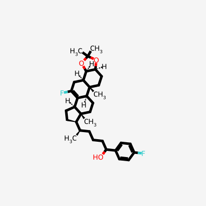 C[C@H](CCCC(O)c1ccc(F)cc1)[C@H]1CC[C@H]2C3=C(F)C[C@H]4[C@H]5OC(C)(C)O[C@H]5CC[C@]4(C)[C@H]3CC[C@]12C